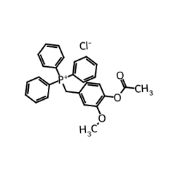 COc1cc(C[P+](c2ccccc2)(c2ccccc2)c2ccccc2)ccc1OC(C)=O.[Cl-]